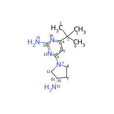 CC(C)(C)c1cc(N2CC[C@H](N)C2)nc(N)n1